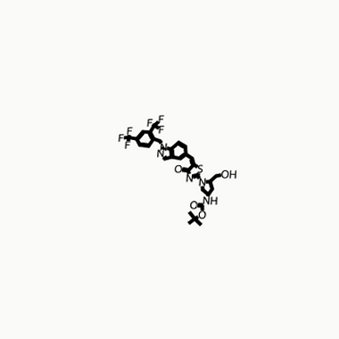 CC(C)(C)OC(=O)NC1CC(CO)N(C2=NC(=O)C(=Cc3ccc4c(cnn4Cc4ccc(C(F)(F)F)cc4C(F)(F)F)c3)S2)C1